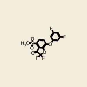 CS(=O)(=O)c1ccc(Oc2cc(F)cc(F)c2)c2c1C(=O)C(F)(F)O2